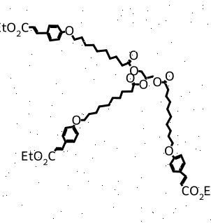 CCOC(=O)C=Cc1ccc(OCCCCCCCCCC(=O)OCC(COC(=O)CCCCCCCCCOc2ccc(C=CC(=O)OCC)cc2)OC(=O)CCCCCCCCCOc2ccc(C=CC(=O)OCC)cc2)cc1